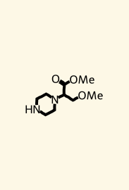 COCC(C(=O)OC)N1CCNCC1